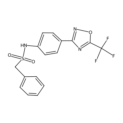 O=S(=O)(Cc1ccccc1)Nc1ccc(-c2noc(C(F)(F)F)n2)cc1